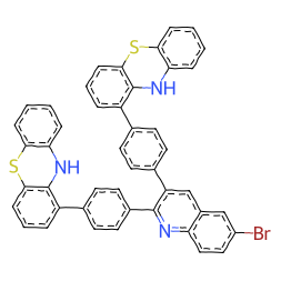 Brc1ccc2nc(-c3ccc(-c4cccc5c4Nc4ccccc4S5)cc3)c(-c3ccc(-c4cccc5c4Nc4ccccc4S5)cc3)cc2c1